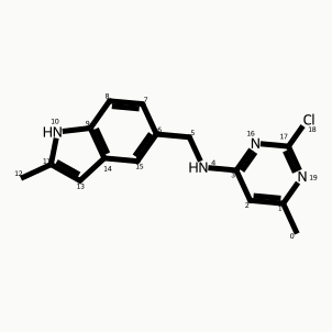 Cc1cc(NCc2ccc3[nH]c(C)cc3c2)nc(Cl)n1